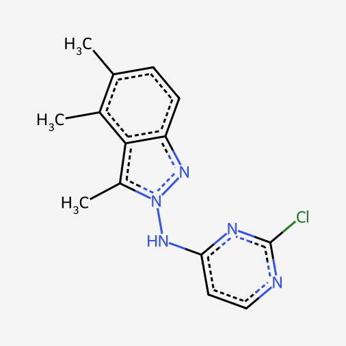 Cc1ccc2nn(Nc3ccnc(Cl)n3)c(C)c2c1C